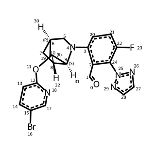 O=Cc1c(N2C[C@@H]3CC[C@H]2[C@H](Oc2ccc(Br)cn2)C3)ccc(F)c1-n1nccn1